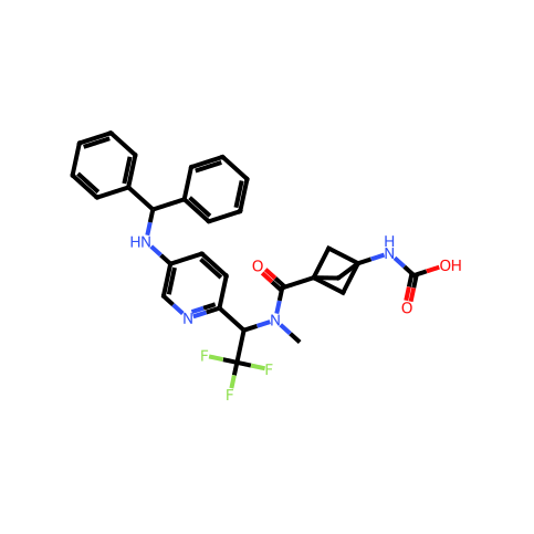 CN(C(=O)C12CC(NC(=O)O)(C1)C2)C(c1ccc(NC(c2ccccc2)c2ccccc2)cn1)C(F)(F)F